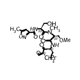 COC[C@@H](C(=O)N[C@@H](CC(C)C)C(=O)[C@@]1(C)CO1)N(C)C(=O)[C@H](CO)NC(=O)c1cc(C)on1